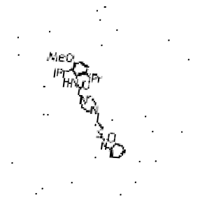 COc1ccc(C(C)C)c(NC(=O)CN2CCN(CCCSc3nc4ccccc4o3)CC2)c1C(C)C